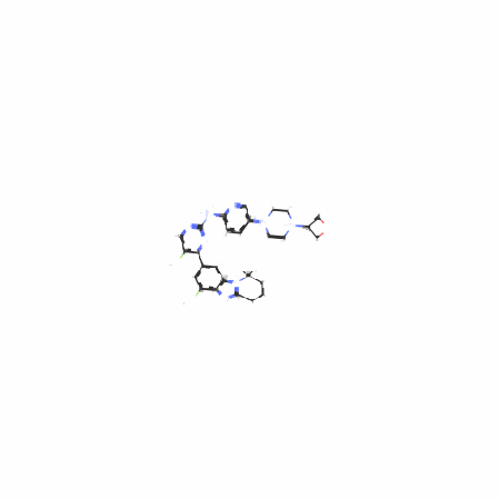 CC1(C)CCCc2nc3c(F)cc(-c4nc(Nc5ccc(N6CCN(C7COC7)CC6)cn5)ncc4F)cc3n21